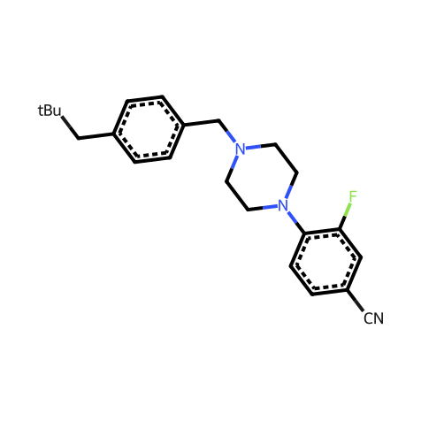 CC(C)(C)Cc1ccc(CN2CCN(c3ccc(C#N)cc3F)CC2)cc1